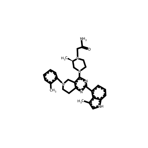 Cc1ccccc1N1CCc2nc(-c3cccc4[nH]cc(C)c34)nc(N3CCN(CC(N)=O)[C@H](C)C3)c2C1